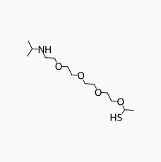 CC(C)NCCOCCOCCOCCOC(C)S